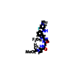 COCC(C)n1ccc(C(=O)NCc2nc(-c3cc4c(N[C@@H]5CCN(C(C)(C)C)C[C@@H]5F)cccc4n3CC(F)(F)F)no2)c1